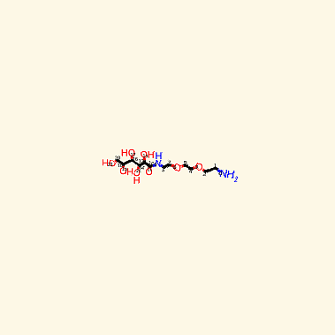 NCCOCCOCCNC(=O)C(O)C(O)C(O)C(O)CO